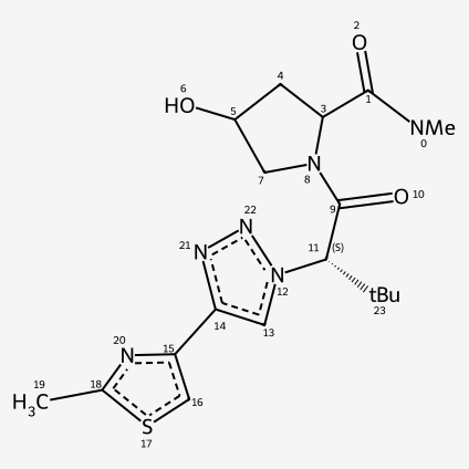 CNC(=O)C1CC(O)CN1C(=O)[C@@H](n1cc(-c2csc(C)n2)nn1)C(C)(C)C